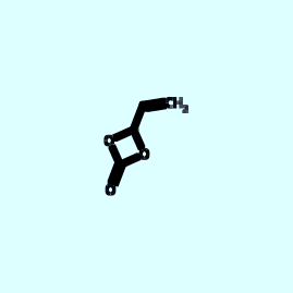 C=C[C]1OC(=O)O1